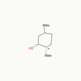 CNC1CC[C@H](NC)C(O)C1